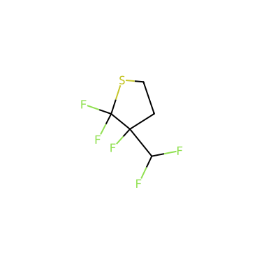 FC(F)C1(F)CCSC1(F)F